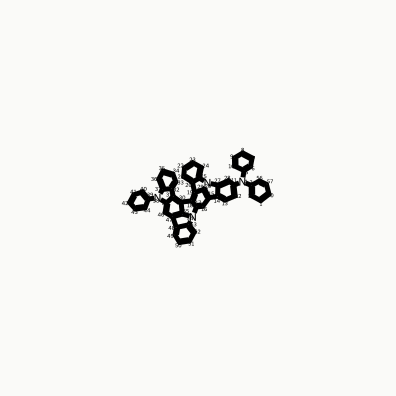 c1ccc(N(c2ccccc2)c2ccc3c4cc5c(c6c7ccccc7n(c3c2)c46)c2c3c4ccccc4n(-c4ccccc4)c3cc3c4ccccc4n5c32)cc1